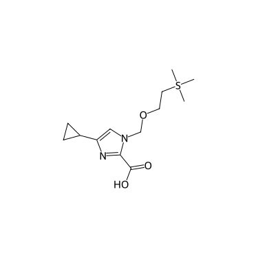 CS(C)(C)CCOCn1cc(C2CC2)nc1C(=O)O